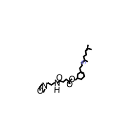 CC(C)=CCC/C(C)=C/CCC1=CCCC(COC(=O)CCC(=O)NCCCN2CCOCC2)C1